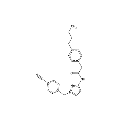 CCCCc1ccc(CC(=O)Nc2ccn(Cc3ccc(C#N)cc3)n2)cc1